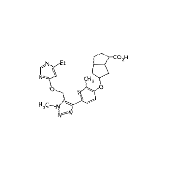 CCc1cc(OCc2c(-c3ccc(OC4CC5CCC(C(=O)O)C5C4)c(C)n3)nnn2C)ncn1